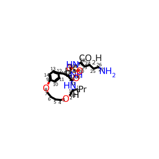 CC(C)[C@H]1COCCCCOc2ccc(cc2)C[C@H](NS(=O)(=O)N[C@@H](CCCCN)C(=O)O)C(=O)N1